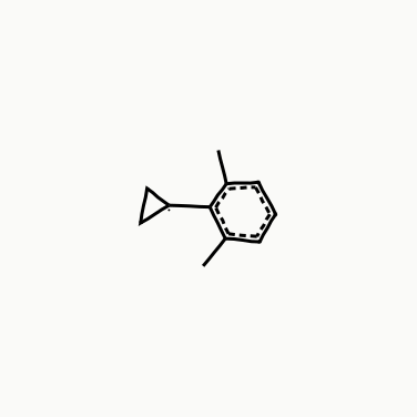 Cc1cccc(C)c1[C]1CC1